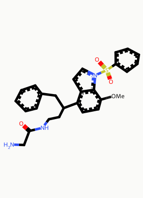 COc1ccc(C(CCNC(=O)CN)Cc2ccccc2)c2ccn(S(=O)(=O)c3ccccc3)c12